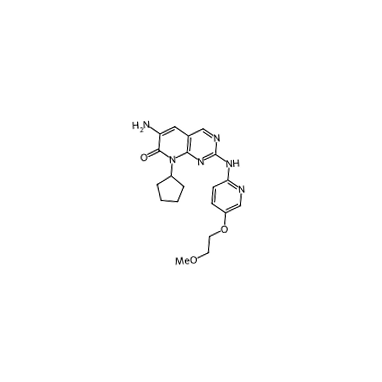 COCCOc1ccc(Nc2ncc3cc(N)c(=O)n(C4CCCC4)c3n2)nc1